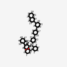 c1ccc(-c2ccccc2N(c2ccc(-c3ccc(-c4cccc(-c5ccc6ccccc6c5)c4)cc3)cc2)c2cccc3c2sc2ccccc23)cc1